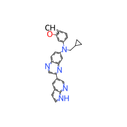 COc1cccc(N(CC2CC2)c2ccc3ncc(-c4cnc5[nH]ccc5c4)nc3c2)c1